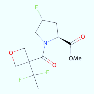 COC(=O)[C@@H]1C[C@@H](F)CN1C(=O)C1(C(C)(F)F)COC1